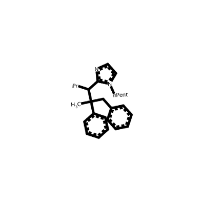 CCCCCn1ccnc1C(C(C)C)C(C)(Cc1ccccc1)c1ccccc1